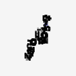 Cc1cc(Nc2ncnc3ccc(NC(=O)/C=C/[C@H]4CCCN4C)cc23)ccc1Oc1cc2nncn2cn1